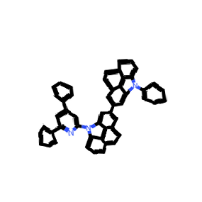 c1ccc(-c2cc(-c3ccccc3)nc(-n3c4cccc5ccc6cc(-c7cc8ccc9cccc%10c9c8c(c7)n%10-c7ccccc7)cc3c6c54)c2)cc1